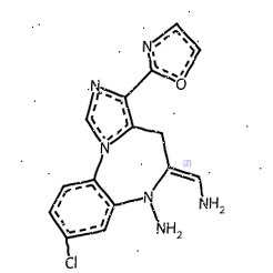 N/C=C1/Cc2c(-c3ncco3)ncn2-c2ccc(Cl)cc2N1N